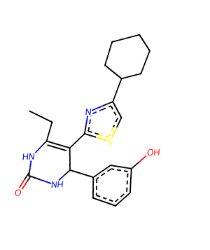 CCC1=C(c2nc(C3CCCCC3)cs2)C(c2cccc(O)c2)NC(=O)N1